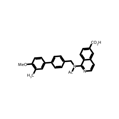 COc1ccc(-c2ccc(CN(C(C)=O)c3nccc4cc(C(=O)O)ccc34)cc2)cc1C